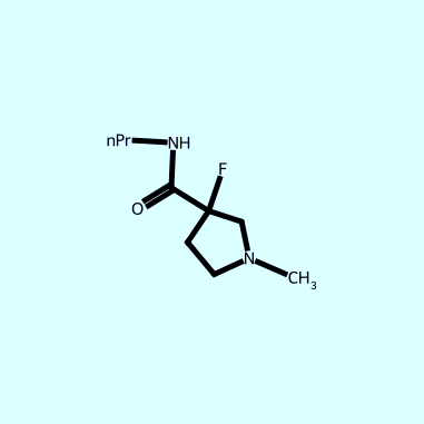 CCCNC(=O)C1(F)CCN(C)C1